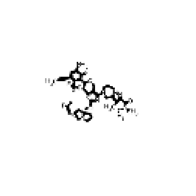 CC#Cc1cc(N)c(F)c(C2Cc3nc(OC[C@]45CCCN4C[C@@H](C=C(F)F)C5)nc(N4CCCn5nc(C(=O)N(C)C)c(C)c5C4)c3CO2)c1C(F)(F)F